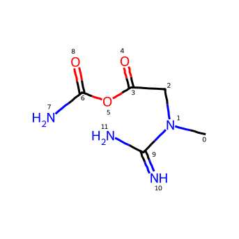 CN(CC(=O)OC(N)=O)C(=N)N